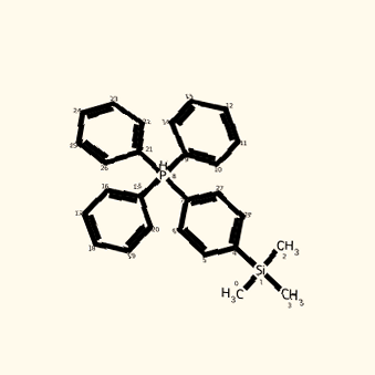 C[Si](C)(C)c1ccc([PH](c2ccccc2)(c2ccccc2)c2ccccc2)cc1